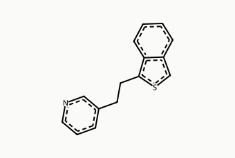 c1cncc(CCc2scc3ccccc23)c1